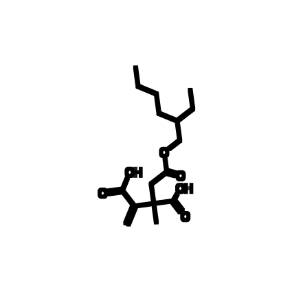 C=C(C(=O)O)C(C)(CC(=O)OCC(CC)CCCC)C(=O)O